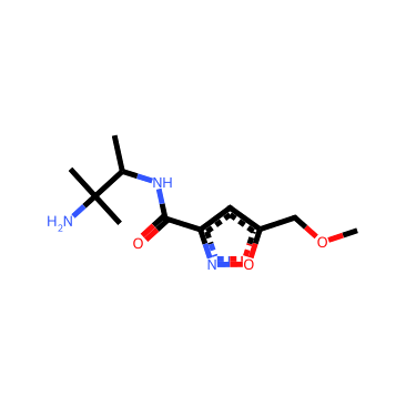 COCc1cc(C(=O)NC(C)C(C)(C)N)no1